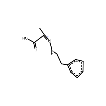 C/C(=N/NCCc1ccccc1)C(=O)O